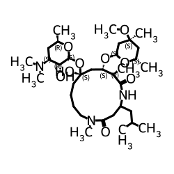 CO[C@]1(C)C[C@H](O[C@H]2C[C@@](O)(O[C@@H]3O[C@H](C)C[C@H](N(C)C)[C@H]3O)CCCCN(C)C(=O)CC(CC(C)C)NC(=O)[C@@H]2C)O[C@@H](C)C1